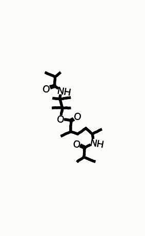 CC(CCC(C)C(=O)OC(C)(C)C(C)(C)NC(=O)C(C)C)NC(=O)C(C)C